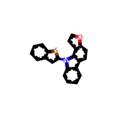 c1ccc2sc(-n3c4ccccc4c4ccc5occc5c43)cc2c1